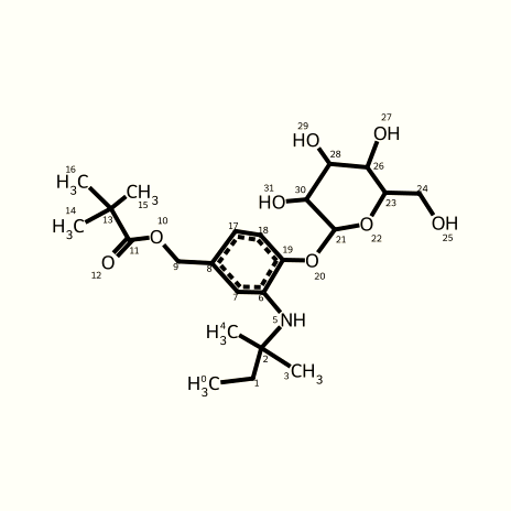 CCC(C)(C)Nc1cc(COC(=O)C(C)(C)C)ccc1OC1OC(CO)C(O)C(O)C1O